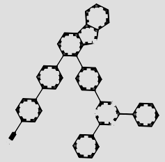 N#Cc1ccc(-c2ccc(-c3ccc4c(oc5ccccc54)c3-c3ccc(-c4nc(-c5ccccc5)nc(-c5ccccc5)n4)cc3)cc2)cc1